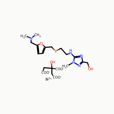 CN(C)Cc1ccc(CSCCNc2nc(CO)nn2C)o1.O=C([O-])CC(O)(CC(=O)[O-])C(=O)[O-].[Bi+3]